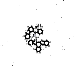 C=Nc1ccccc1/C(=N\Cn1c2cccnc2c2c3ccccc3c3c4ccccc4sc3c21)c1cccc2oc3ccccc3c12